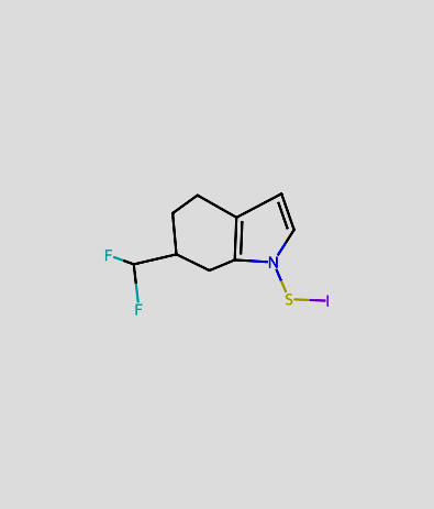 FC(F)C1CCc2ccn(SI)c2C1